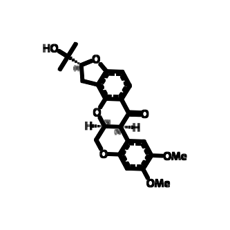 COc1cc2c(cc1OC)[C@@H]1C(=O)c3ccc4c(c3O[C@@H]1CO2)C[C@H](C(C)(C)O)O4